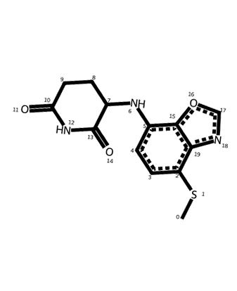 CSc1ccc(NC2CCC(=O)NC2=O)c2ocnc12